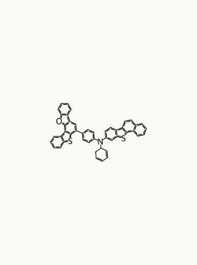 C1=CCC(N(c2ccc(-c3cc4c5ccccc5oc4c4c3sc3ccccc34)cc2)c2ccc3c(c2)sc2c4ccccc4ccc32)C=C1